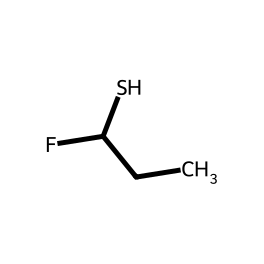 CCC(F)S